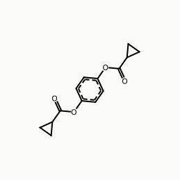 O=C(Oc1ccc(OC(=O)C2CC2)cc1)C1CC1